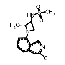 C[C@@H]1[C@@H](NS(C)(=O)=O)CN1c1cccc2cc(Cl)ncc12